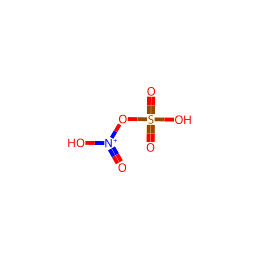 O=[N+](O)OS(=O)(=O)O